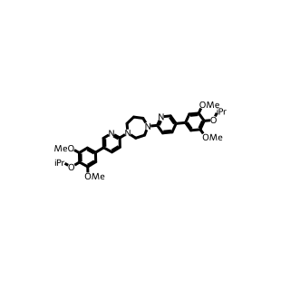 COc1cc(-c2ccc(N3CCCN(c4ccc(-c5cc(OC)c(OC(C)C)c(OC)c5)cn4)CC3)nc2)cc(OC)c1OC(C)C